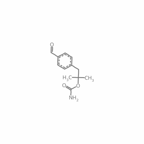 CC(C)(Cc1ccc(C=O)cc1)OC(N)=O